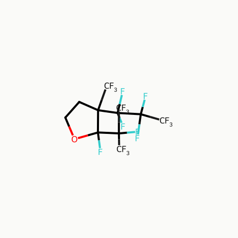 FC(F)(F)C(F)(F)C(F)(F)C1(C(F)(F)F)CCOC1(F)C(F)(C(F)(F)F)C(F)(F)F